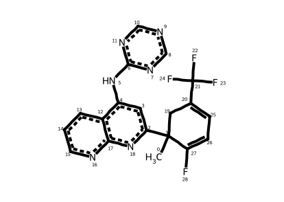 CC1(c2cc(Nc3ncncn3)c3cccnc3n2)CC(C(F)(F)F)=CC=C1F